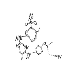 CC(CC#N)Oc1ccc(Nc2nc(Nc3ccc(F)c(S(N)(=O)=O)c3)ncc2F)cc1